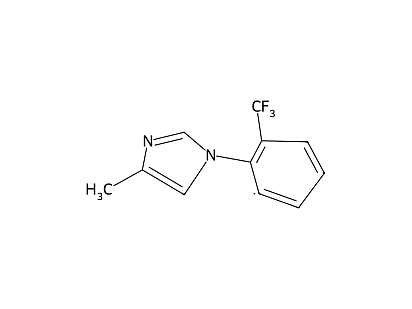 Cc1cn(-c2[c]cccc2C(F)(F)F)cn1